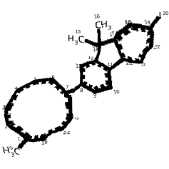 Cc1cccccc(-c2ccc3c(c2)C(C)(C)c2cc(I)ccc2-3)ccc1